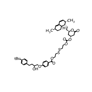 C[C@H]1C=C2C=C[C@H](C)[C@H](CC[C@@H]3C[C@@H](OC(=O)OCCSSCCOC(=O)c4ccc(OCC(O)CCc5ccc(C(C)(C)C)cc5)cc4)CC(=O)O3)[C@H]2CC1